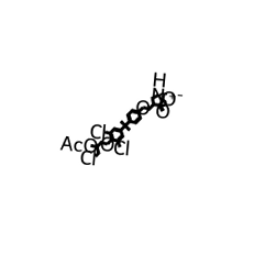 CC(=O)OC(CCl)COc1c(Cl)cc(C(C)(C)c2ccc(OCC3CN[S+]([O-])C3=O)cc2)cc1Cl